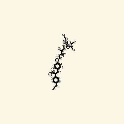 CCO[Si](CCC(F)C(F)CCOc1ccc2cc(-c3ccc(CC)cc3)c(=O)oc2c1)(OCC)OCC